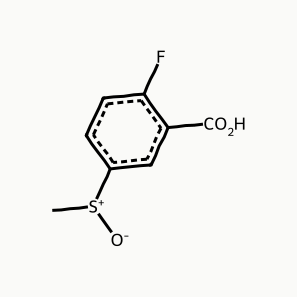 C[S+]([O-])c1ccc(F)c(C(=O)O)c1